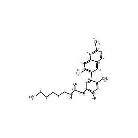 CCCCCCNC(=O)Nc1cc(-c2cc3cnc(C)nc3nc2C)c(C)cc1F